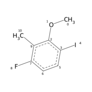 COc1c(I)ccc(F)c1C